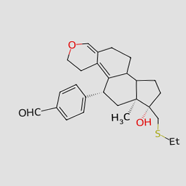 CCSC[C@]1(O)CCC2C3CCC4=COCCC4=C3[C@@H](c3ccc(C=O)cc3)C[C@@]21C